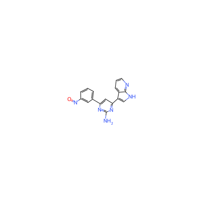 Nc1nc(-c2cccc(N=O)c2)cc(-c2c[nH]c3ncccc23)n1